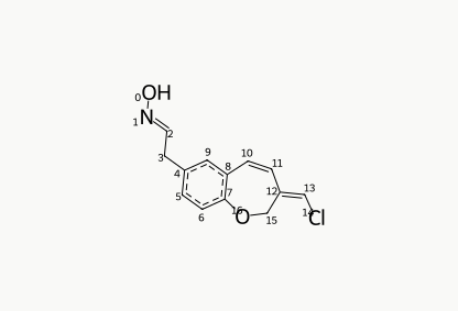 ON=CCc1ccc2c(c1)C=CC(=CCl)CO2